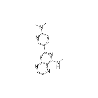 CNc1nc(-c2ccc(N(C)C)nc2)cc2nccnc12